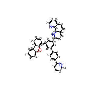 c1ccc(-c2ccc(-c3cc(-c4ccc5ccc6cccnc6c5n4)cc(-c4cccc5c4oc4ccccc45)c3)cc2)nc1